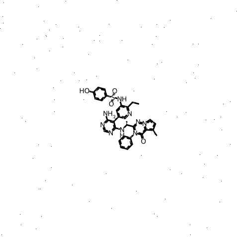 CCc1ncc(-c2c(N)ncnc2N[C@@H](C)c2nn3ccc(C)c3c(=O)n2-c2ccccc2)cc1NS(=O)(=O)c1ccc(O)cc1